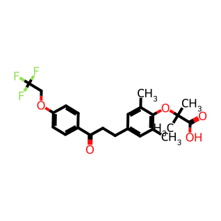 Cc1cc(CCC(=O)c2ccc(OCC(F)(F)F)cc2)cc(C)c1OC(C)(C)C(=O)O